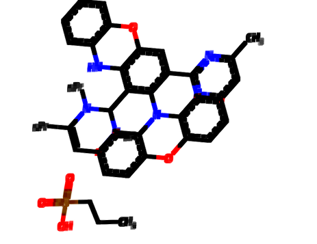 CCCC1=CCN(CCC)C(c2c3c(cc(-c4nccc(C)n4)c2N2c4ccccc4Oc4ccccc42)Oc2ccccc2N3)N1CCC.CCCS(=O)(=O)O